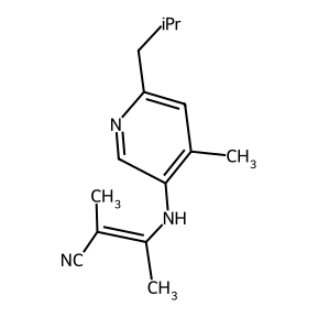 CC(C#N)=C(C)Nc1cnc(CC(C)C)cc1C